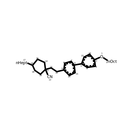 CCCCCCCCOc1ccc(-c2ccc(CCC3(C#N)CCC(CCCCCCC)CC3)cc2)cc1